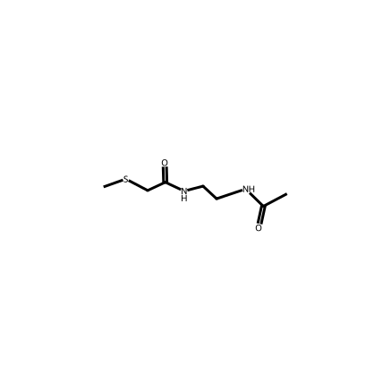 CSCC(=O)NCCNC(C)=O